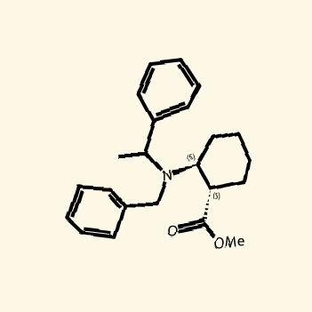 COC(=O)[C@H]1CCCC[C@@H]1N(Cc1ccccc1)C(C)c1ccccc1